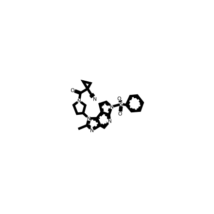 Cc1nc2cnc3c(ccn3S(=O)(=O)c3ccccc3)c2n1C1CCN(C(=O)C2(C#N)CC2)C1